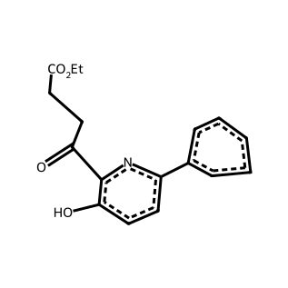 CCOC(=O)CCC(=O)c1nc(-c2ccccc2)ccc1O